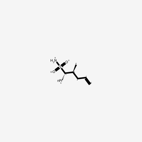 C=CC[C@H](C)[C@H](CCC)S(N)(=O)=O